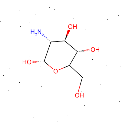 N[C@@H]1[C@@H](O)[C@H](O)C(CO)O[C@@H]1O